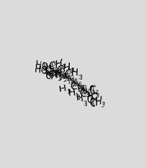 CC1=CCCC(C)(C)C1/C=C/C(C)=C/C=C/C(C)=C/C=C/C=C(C)/C=C/C=C(C)/C=C/C1=C(C)CC(O)(O)CC1(C)C